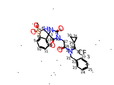 O=C1NC2(CS(=O)(=O)c3ccccc32)C(=O)N1CC(=O)N(Cc1ccccc1)[C@H](C1CC1)C(F)(F)F